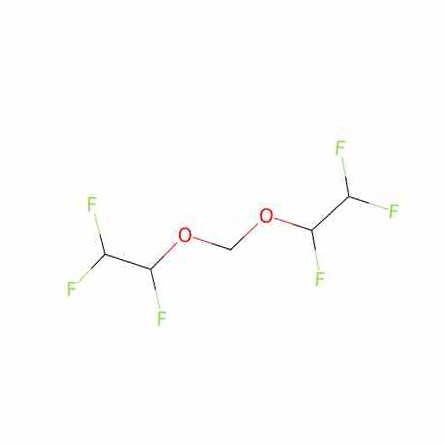 FC(F)C(F)OCOC(F)C(F)F